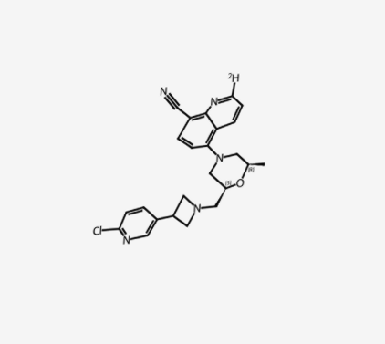 [2H]c1ccc2c(N3C[C@H](CN4CC(c5ccc(Cl)nc5)C4)O[C@H](C)C3)ccc(C#N)c2n1